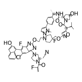 C=C(F)C(=O)N1CCN(c2nc(OCCN3CCC(F)(COc4cc([C@@H](C(=O)N5C[C@H](O)C[C@H]5C(=O)N[C@@H](C)c5ccc(-c6ccnn6C)cc5)C(C)C)on4)CC3)nc3c(F)c(-c4cc(O)cc5ccccc45)c(Cl)cc23)C[C@@H]1CC#N